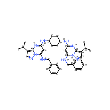 CC(C)c1cnn2c(NCc3ccccc3)cc(NC3CCC(Nc4cc(NCc5ccccc5)n5ncc(C(C)C)c5n4)CC3)nc12